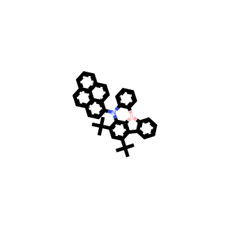 CC(C)(C)c1cc(C(C)(C)C)c2c3c1-c1ccccc1B3c1ccccc1N2c1ccc2ccc3cccc4ccc1c2c34